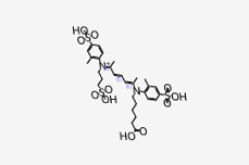 C\C(=C/C=C/C(C)=[N+](\CCCS(=O)(=O)O)c1ccc(S(=O)(=O)O)cc1C)N(CCCCCC(=O)O)c1ccc(S(=O)(=O)O)cc1C